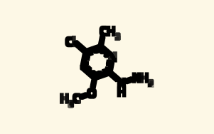 COc1cc(Cl)c(C)nc1NN